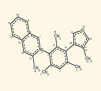 Cc1cc(C)c(-[n+]2cc3ccccc3cc2C)c(C)c1-c1coc[n+]1C